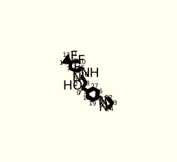 C[C@](O)(Cc1nc(CC2(C(F)(F)F)CC2)c[nH]1)c1ccc(-n2cccn2)cc1